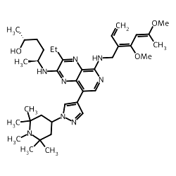 C=C/C(CNc1ncc(-c2cnn(C3CC(C)(C)N(C)C(C)(C)C3)c2)c2nc(N[C@@H](C)CC[C@@H](C)O)c(CC)nc12)=C(\C=C(/C)OC)OC